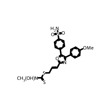 COc1ccc(-c2nc(C=CCSC(=S)N(C)O)oc2-c2ccc(S(N)(=O)=O)cc2)cc1